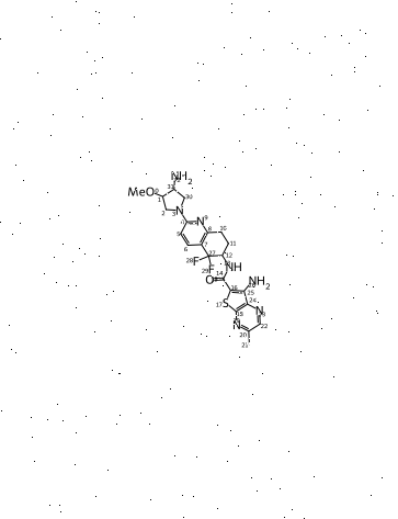 COC1CN(c2ccc3c(n2)CCC(NC(=O)c2sc4nc(C)cnc4c2N)C3(F)F)CC1N